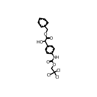 O=C(Nc1ccc(C(O)C(=O)OCc2ccccc2)cc1)OCC(Cl)(Cl)Cl